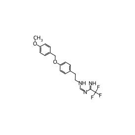 COc1ccc(COc2ccc(CCN/C=N\C(=N)C(F)(F)F)cc2)cc1